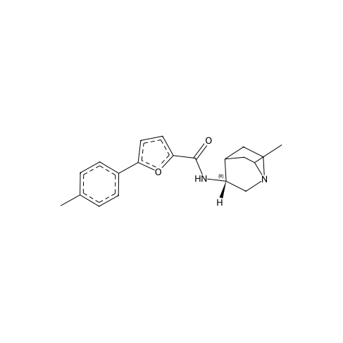 Cc1ccc(-c2ccc(C(=O)N[C@H]3CN4CCC3CC4C)o2)cc1